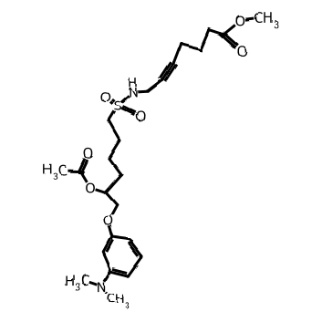 COC(=O)CCCC#CCNS(=O)(=O)CCCCC(COc1cccc(N(C)C)c1)OC(C)=O